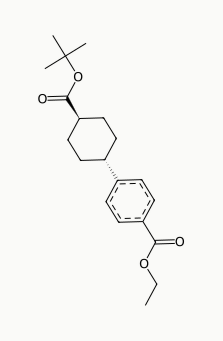 CCOC(=O)c1ccc([C@H]2CC[C@H](C(=O)OC(C)(C)C)CC2)cc1